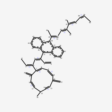 C=C\C(=C/C(=C\C)C1=C/C=C\C(=C)/C=C\C(C)/C=C\C\1=C)c1c2ccccc2c(/C(C)=N/C=C(C)/C(C)=C/C=C\C)c2ccccc12